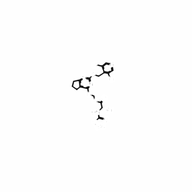 CC(C)[C@H](NC(=O)OC(C)(C)C)C(=O)OCOc1nc(SCc2c(Cl)cncc2Cl)nc2c1CCC2